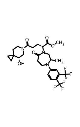 COC(=O)[C@H](CCC(=O)N1CCC2(CC2)[C@H](O)C1)N1CC(C)N(c2ccc(C(F)(F)F)c(C(F)(F)F)c2)CCC1=O